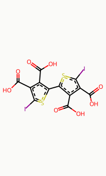 O=C(O)c1c(I)sc(-c2sc(I)c(C(=O)O)c2C(=O)O)c1C(=O)O